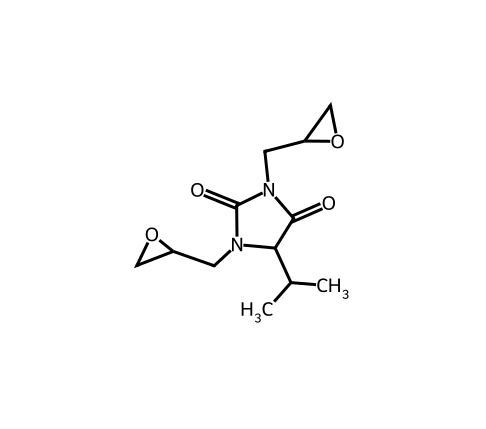 CC(C)C1C(=O)N(CC2CO2)C(=O)N1CC1CO1